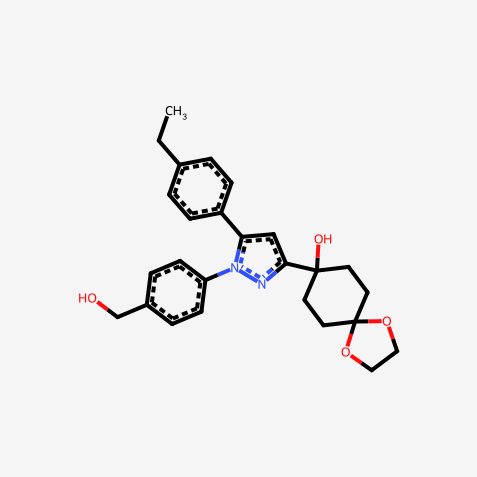 CCc1ccc(-c2cc(C3(O)CCC4(CC3)OCCO4)nn2-c2ccc(CO)cc2)cc1